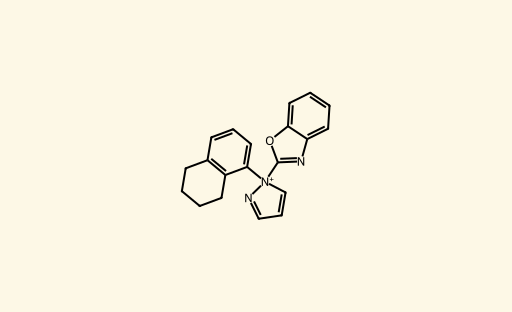 C1=C[N+](c2nc3ccccc3o2)(c2cccc3c2CCCC3)N=C1